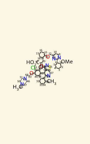 COc1ccccc1-c1nccc(COc2ccccc2CC(Oc2nsc3cnc(-c4ccccc4C)c(-c4ccc(OCCN5CCN(C)CC5)c(Cl)c4C)c23)C(=O)O)n1